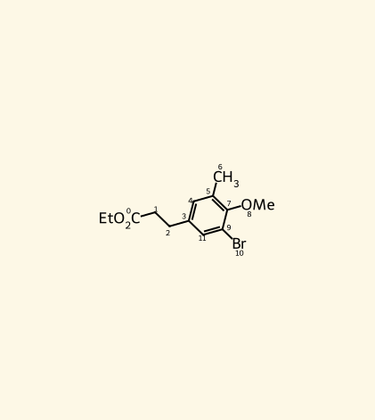 CCOC(=O)CCc1cc(C)c(OC)c(Br)c1